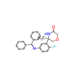 CC1(c2cc(N=C(c3ccccc3)c3ccccc3)ccc2F)COCC(=O)N1